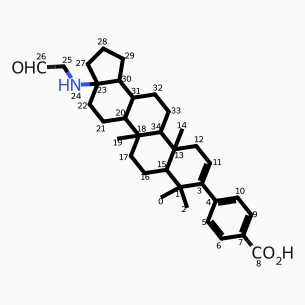 CC1(C)C(c2ccc(C(=O)O)cc2)=CCC2(C)C1CCC1(C)C3CCC4(NCC=O)CCCC4C3CCC12